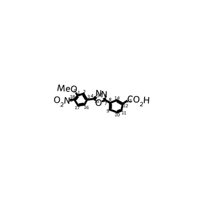 COc1cc(-c2nnc(-c3cccc(C(=O)O)c3)o2)ccc1[N+](=O)[O-]